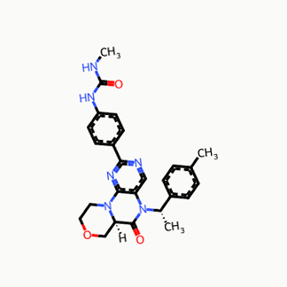 CNC(=O)Nc1ccc(-c2ncc3c(n2)N2CCOC[C@@H]2C(=O)N3[C@@H](C)c2ccc(C)cc2)cc1